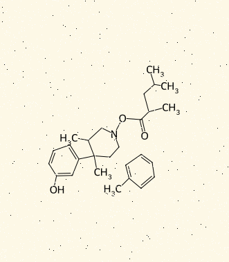 CC(C)CC(C)C(=O)ON1CCC(C)(c2cccc(O)c2)C(C)C1.Cc1ccccc1